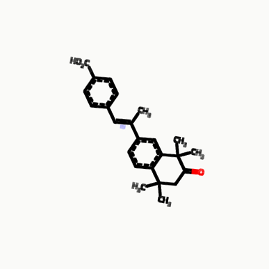 C/C(=C\c1ccc(C(=O)O)cc1)c1ccc2c(c1)C(C)(C)C(=O)CC2(C)C